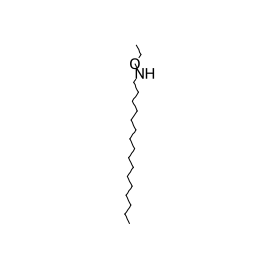 CCCCCCCCCCCCCCCCNOCC